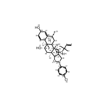 C=CC(C)(C)OC(=O)[C@@]12ON(c3ccc(Cl)cc3)C[C@@H]1C[C@H]1[C@@H]3C[C@H](F)C4=CC(O)C=C[C@]4(C)[C@@]3(F)[C@@H](O)C[C@@]12C